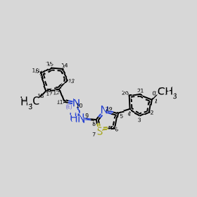 Cc1ccc(-c2csc(N/N=C/c3ccccc3C)n2)cc1